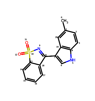 Cc1ccc2[nH]cc(C3=NS(=O)(=O)c4ccccc43)c2c1